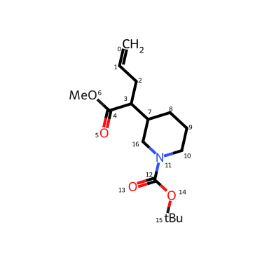 C=CCC(C(=O)OC)C1CCCN(C(=O)OC(C)(C)C)C1